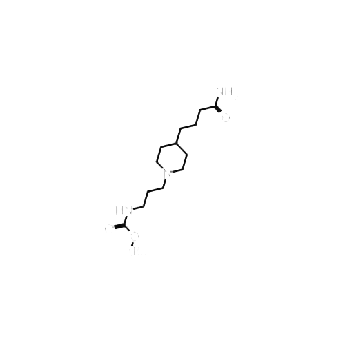 CC(C)(C)OC(=O)NCCCN1CCC(CCCC(N)=O)CC1